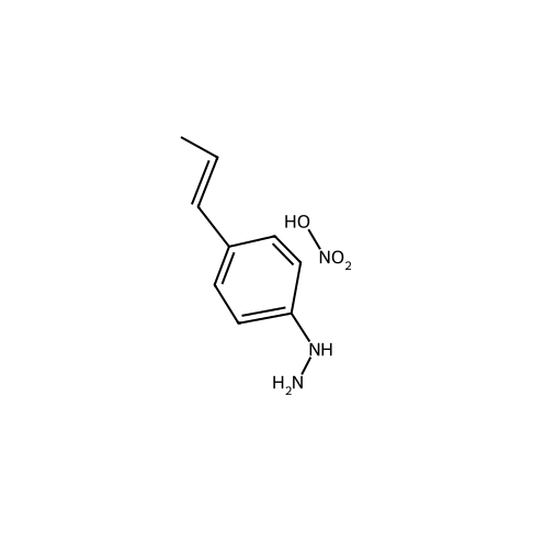 CC=Cc1ccc(NN)cc1.O=[N+]([O-])O